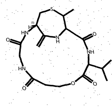 C=C1NC2C(=O)NC(C(C)C)C(=O)OCCC(=O)NCC(=O)N[C@@H]1CSC2C